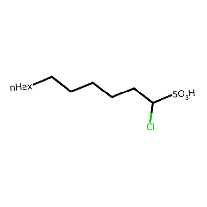 CCCCCCCCCCCC(Cl)S(=O)(=O)O